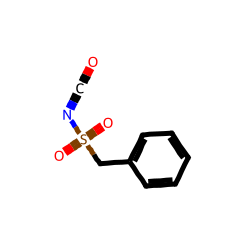 O=C=NS(=O)(=O)Cc1ccccc1